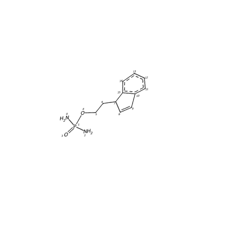 NP(N)(=O)OCCC1C=Cc2ccccc21